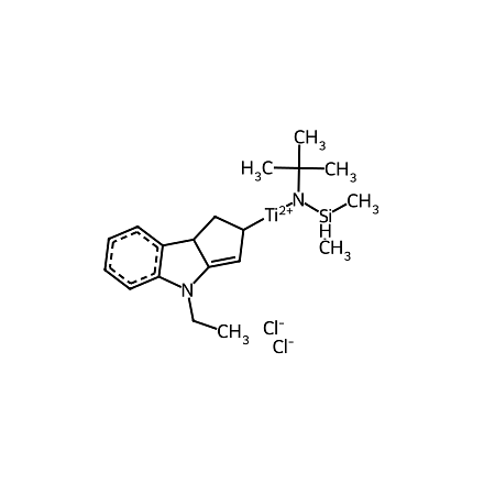 CCN1C2=C[CH]([Ti+2][N]([SiH](C)C)C(C)(C)C)CC2c2ccccc21.[Cl-].[Cl-]